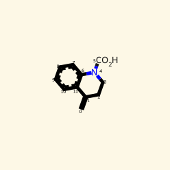 C=C1CCN(C(=O)O)c2ccccc21